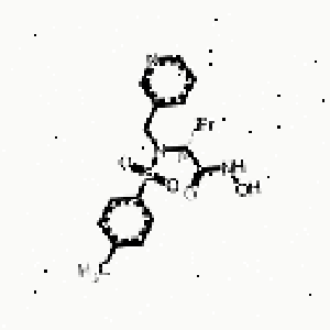 Cc1ccc(S(=O)(=O)N(Cc2cccnc2)[C@@H](C(=O)NO)C(C)C)cc1